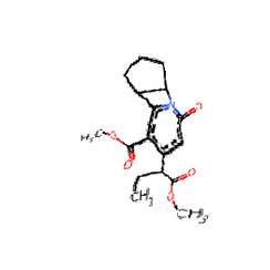 CCC(C(=O)OC)c1cc(=O)n2c(c1C(=O)OC)C1CCCC12